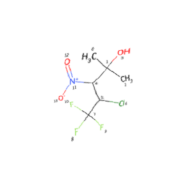 CC(C)(O)C(C(Cl)C(F)(F)F)[N+](=O)[O-]